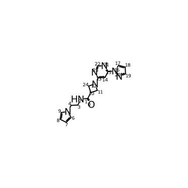 O=C(NCCn1cccc1)C1CN(c2cc(-n3cccn3)ncn2)C1